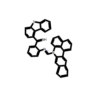 N=C(c1ccccc1/N=C/N1c2cc3ccccc3cc2-c2cccc3cccc1c23)c1cccc2sc3ccccc3c12